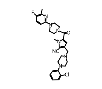 Cc1nc(N2CCN(C(=O)c3cc(CN4CCN(c5ccccc5Cl)CC4)c(C#N)n3C)CC2)ccc1F